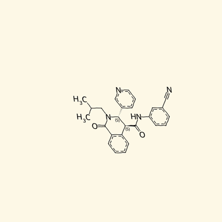 CC(C)CN1C(=O)c2ccccc2[C@H](C(=O)Nc2cccc(C#N)c2)[C@H]1c1cccnc1